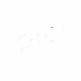 Cc1cccc(S(=O)(=O)N(N)[C@@H](C)C(=O)O)c1